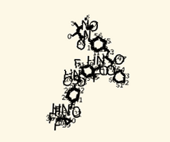 Cc1c(C)n(C)c(=O)n(-c2ccc(C[C@H](NC(=O)c3cc(F)c(NS(=O)(=O)c4ccc(C(=O)NC5(C(F)(F)F)CC5)cc4)cc3F)C(=O)OC3CCCCC3)cc2)c1=O